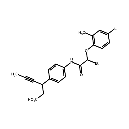 CC#CC(CC(=O)O)c1ccc(NC(=O)C(CC)Oc2ccc(Cl)cc2C)cc1